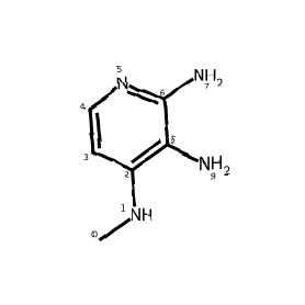 CNc1ccnc(N)c1N